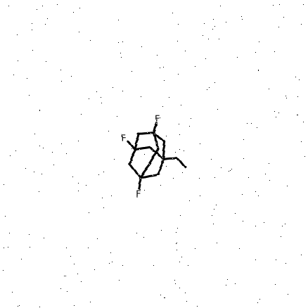 CCC12CC3(F)CC(F)(CC(F)(C3)C1)C2